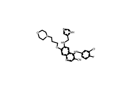 N#Cc1cnc2cc(OCCCN3CCOCC3)c(NCc3cnc[nH]3)cc2c1Nc1ccc(F)c(Cl)c1